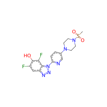 CS(=O)(=O)N1CCN(c2ccc(-n3nnc4cc(F)c(O)c(F)c43)nc2)CC1